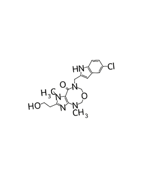 CN1COCN(Cc2cc3cc(Cl)ccc3[nH]2)C(=O)c2c1nc(CCO)n2C